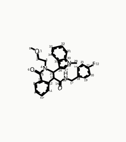 COCCN1C(=O)c2ccccc2C(C(=O)NCc2ccc(F)cc2)C1c1cn(C)c2ccccc12